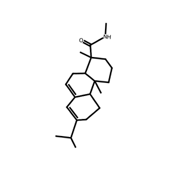 CNC(=O)C1(C)CCCC2(C)C3CCC(C(C)C)=CC3=CCC12